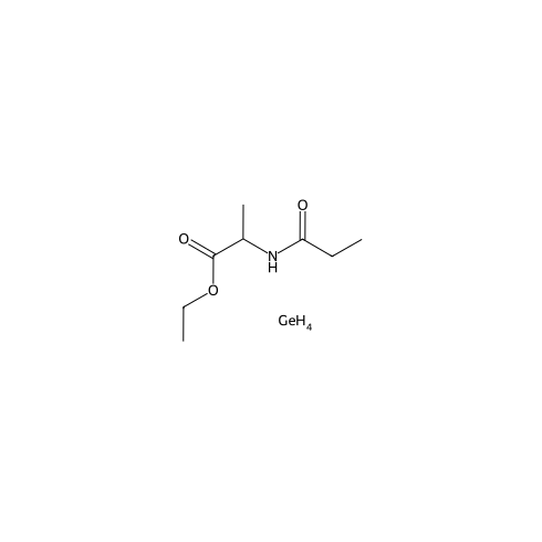 CCOC(=O)C(C)NC(=O)CC.[GeH4]